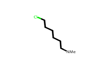 CNCCCCCCCl